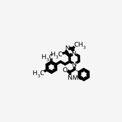 CNC(=O)[C@@H](c1ccccc1)N1CCn2c(C)nc(C)c2C1CCc1ccc(C)cc1C